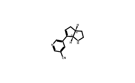 N#Cc1cncc(C2=CC[C@@H]3CCN[C@H]23)c1